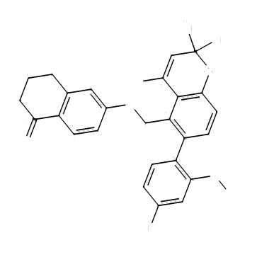 COc1cc(F)ccc1-c1ccc2c(c1COc1ccc3c(c1)CCCC3=O)C(C)=CC(C)(C)N2